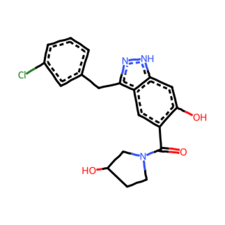 O=C(c1cc2c(Cc3cccc(Cl)c3)n[nH]c2cc1O)N1CCC(O)C1